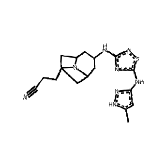 Cc1cc(Nc2nc(NC3CC4CC5(CCC#N)CC(C3)N45)ns2)n[nH]1